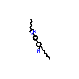 CCCCCCCCC1(C#N)CCC(c2ccc(-c3ncc(CCCCC)cn3)cc2)CC1